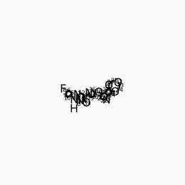 Cn1c(Nc2ccc(F)cc2)ncc(-c2ccc(Oc3ccnc4cc5c(cc34)OCCOCCO5)cn2)c1=O